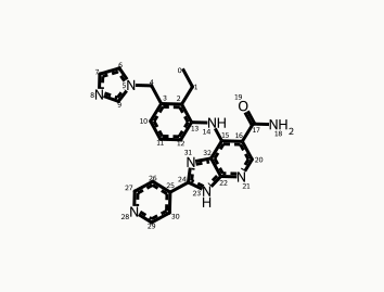 CCc1c(Cn2ccnc2)cccc1Nc1c(C(N)=O)cnc2[nH]c(-c3ccncc3)nc12